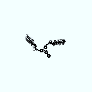 O=C(CCCc1ccc(N(c2ccc(CCCC(=O)OC(F)(F)C(F)(F)C(F)(F)C(F)(F)C(F)(F)C(F)(F)C(F)(F)C(F)(F)C(F)(F)F)cc2)c2ccc(-c3ccccc3)cc2)cc1)OC(F)(F)C(F)(F)C(F)(F)C(F)(F)C(F)(F)C(F)(F)C(F)(F)C(F)(F)C(F)(F)F